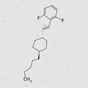 CCCCC[C@H]1CC[C@H](/C=C/c2c(F)cccc2F)CC1